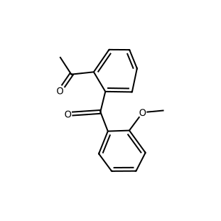 COc1ccccc1C(=O)c1ccccc1C(C)=O